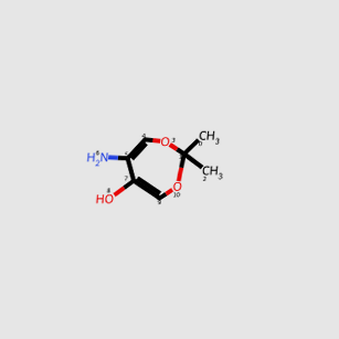 CC1(C)OC=C(N)C(O)=CO1